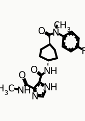 CNC(=O)c1nc[nH]c1C(=O)N[C@H]1CC[C@H](C(=O)N(C)c2ccc(F)cc2)CC1